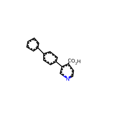 O=C(O)c1ccncc1-c1ccc(-c2ccccc2)cc1